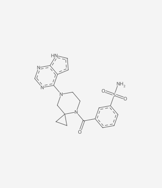 NS(=O)(=O)c1cccc(C(=O)N2CCN(c3ncnc4[nH]ccc34)CC23CC3)c1